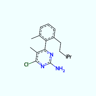 Cc1cccc(CCC(C)C)c1-c1nc(N)nc(Cl)c1C